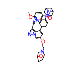 COc1ccc(C(=O)N2C3CC2CN(c2ccc(-c4cc(OCCN5CC6CC(C5)O6)cn5ncc(C#N)c45)cc2)C3)cn1